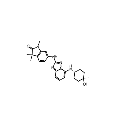 CN1C(=O)C(C)(C)c2ccc(Nc3nc4cccc(N[C@H]5CC[C@](C)(O)CC5)n4n3)cc21